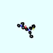 c1ccc(-c2ccc(N(c3ccc4c(c3)oc3c4ccc4c3c3ccccc3n4-c3ccccc3)c3ccc4c(c3)sc3ccccc34)cc2)cc1